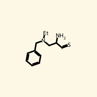 CCN(Cc1ccccc1)CC(N)[C]=S